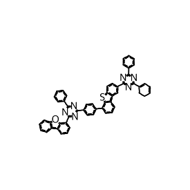 C1=CCCC(c2nc(-c3ccccc3)nc(-c3ccc4sc5c(-c6ccc(-c7nc(-c8ccccc8)nc(-c8cccc9c8oc8ccccc89)n7)cc6)cccc5c4c3)n2)=C1